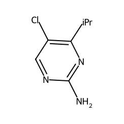 CC(C)c1nc(N)ncc1Cl